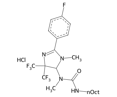 CCCCCCCCNC(=O)N(C)C1N(C)C(c2ccc(F)cc2)=NC1(C(F)(F)F)C(F)(F)F.Cl